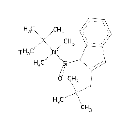 CC(C)(C)CC1=Cc2ccccc2C1[Si](=O)[N+](C)(C)C(C)(C)C.[Ti]